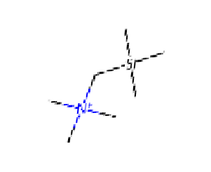 C[N+](C)(C)C[Si](C)(C)C